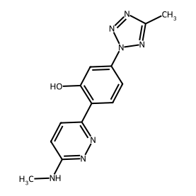 CNc1ccc(-c2ccc(-n3nnc(C)n3)cc2O)nn1